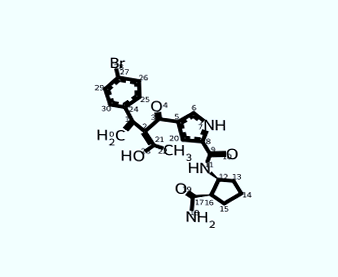 C=C(/C(C(=O)c1c[nH]c(C(=O)N[C@H]2CCC[C@H]2C(N)=O)c1)=C(/C)O)c1ccc(Br)cc1